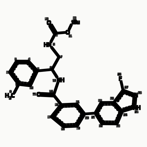 Cc1cccc(C(CNC(=O)OC(C)(C)C)NC(=O)c2cccc(-c3ccc4[nH]nc(F)c4c3)c2)c1